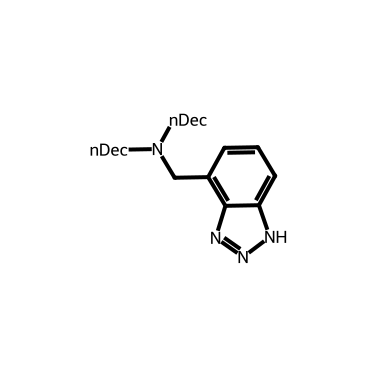 CCCCCCCCCCN(CCCCCCCCCC)Cc1cccc2[nH]nnc12